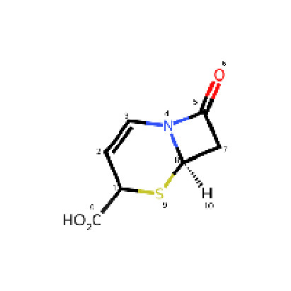 O=C(O)C1C=CN2C(=O)C[C@H]2S1